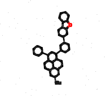 CC(C)(C)c1cc2ccc3c(-c4ccccc4)cc(-c4cccc(-c5ccc6c(c5)oc5ccccc56)c4)c4ccc(c1)c2c34